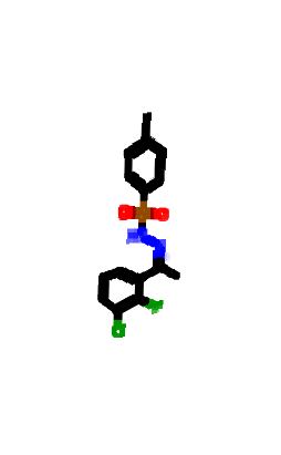 C/C(=N/NS(=O)(=O)c1ccc(C)cc1)c1cccc(Cl)c1F